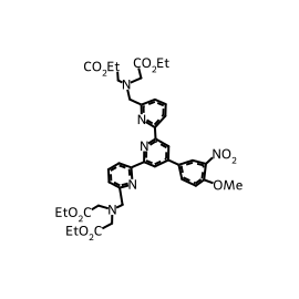 CCOC(=O)CN(CC(=O)OCC)Cc1cccc(-c2cc(-c3ccc(OC)c([N+](=O)[O-])c3)cc(-c3cccc(CN(CC(=O)OCC)CC(=O)OCC)n3)n2)n1